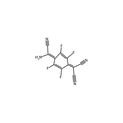 N#CC(N)=c1c(F)c(F)c(=C(C#N)C#N)c(F)c1F